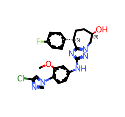 COc1cc(Nc2nc3n(n2)C[C@H](O)CC[C@H]3c2ccc(F)cc2)ccc1-n1cnc(Cl)c1